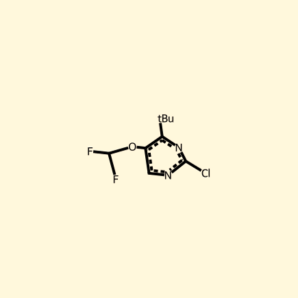 CC(C)(C)c1nc(Cl)ncc1OC(F)F